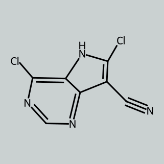 N#Cc1c(Cl)[nH]c2c(Cl)ncnc12